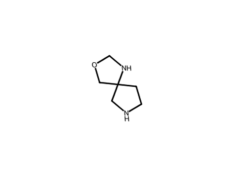 C1CC2(CN1)COCN2